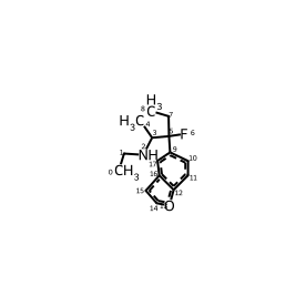 CCNC(C)C(F)(CC)c1ccc2occc2c1